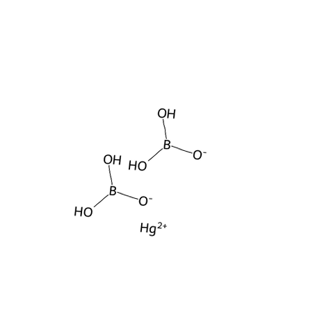 [Hg+2].[O-]B(O)O.[O-]B(O)O